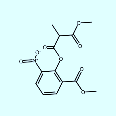 COC(=O)c1cccc([N+](=O)[O-])c1OC(=O)C(C)C(=O)OC